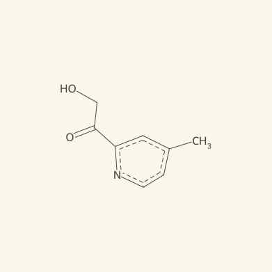 Cc1ccnc(C(=O)CO)c1